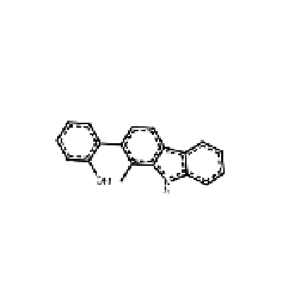 Cc1c(-c2ccccc2O)ccc2c1[nH]c1ccccc12